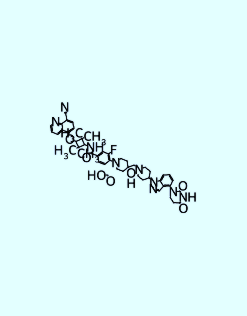 CC1(C)C(NC(=O)c2ccc(N3CCC(O)(CN4CCC(n5ncc6c(N7CCC(=O)NC7=O)cccc65)CC4)CC3)c(F)c2)C(C)(C)C1Oc1ccc(C#N)c2ncccc12.O=CO